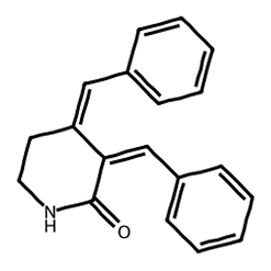 O=C1NCCC(=Cc2ccccc2)C1=Cc1ccccc1